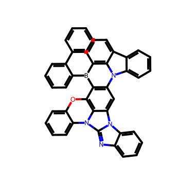 c1ccc(-c2ccccc2B2c3c(cc4c5c3oc3ccccc3n5c3nc5ccccc5n43)-n3c4ccccc4c4cccc2c43)cc1